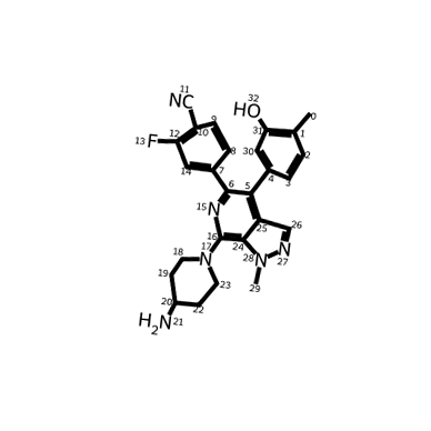 Cc1ccc(-c2c(-c3ccc(C#N)c(F)c3)nc(N3CCC(N)CC3)c3c2cnn3C)cc1O